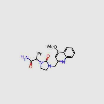 COc1cc(CN2CCN(C(C(N)=O)C(C)C)C2=O)nc2ccccc12